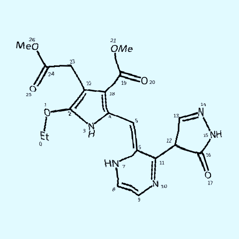 CCOc1[nH]c(C=C2NC=CN=C2C2C=NNC2=O)c(C(=O)OC)c1CC(=O)OC